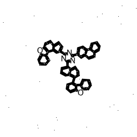 c1ccc2c(c1)ccc1cc(-c3nc(-c4ccc5ccc6oc7ccccc7c6c5c4)nc(-c4cccc5c(-c6cccc7oc8ccccc8c67)cccc45)n3)ccc12